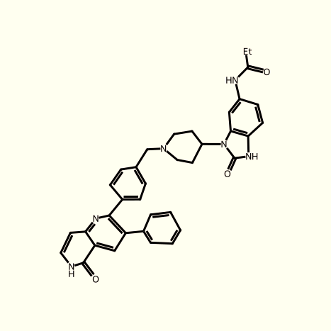 CCC(=O)Nc1ccc2[nH]c(=O)n(C3CCN(Cc4ccc(-c5nc6cc[nH]c(=O)c6cc5-c5ccccc5)cc4)CC3)c2c1